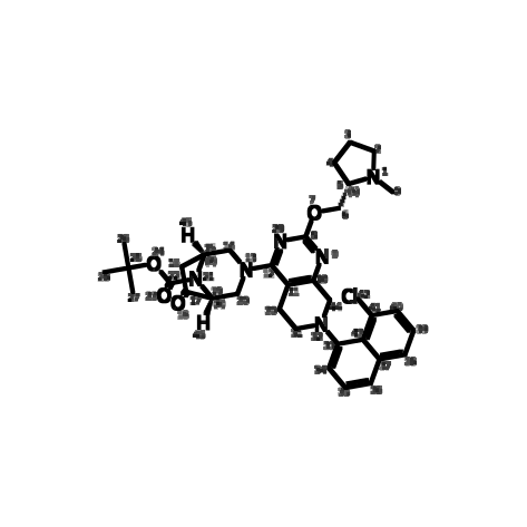 CN1CCC[C@H]1COc1nc2c(c(N3C[C@H]4CC(=O)[C@@H](C3)N4C(=O)OC(C)(C)C)n1)CCN(c1cccc3cccc(Cl)c13)C2